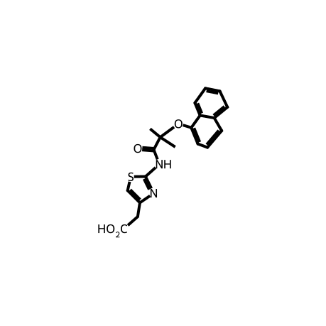 CC(C)(Oc1cccc2ccccc12)C(=O)Nc1nc(CC(=O)O)cs1